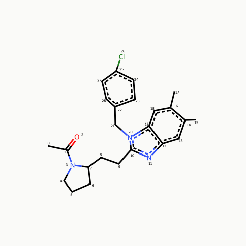 CC(=O)N1CCCC1CCc1nc2cc(C)c(C)cc2n1Cc1ccc(Cl)cc1